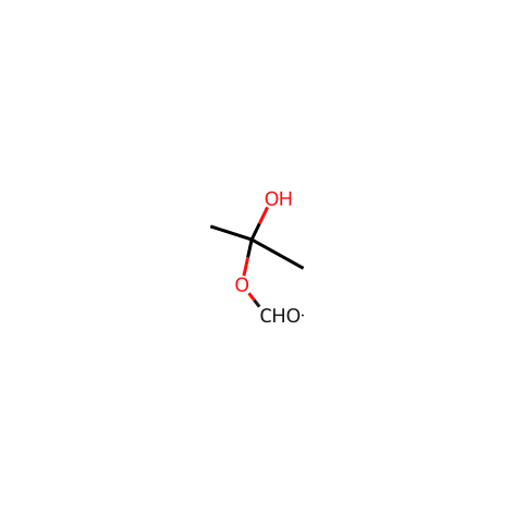 CC(C)(O)O[C]=O